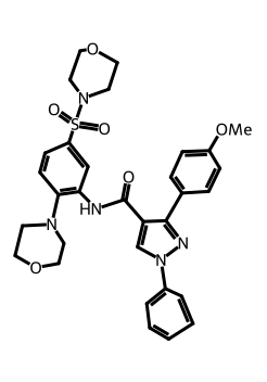 COc1ccc(-c2nn(-c3ccccc3)cc2C(=O)Nc2cc(S(=O)(=O)N3CCOCC3)ccc2N2CCOCC2)cc1